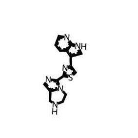 c1cnc2[nH]cc(-c3csc(-c4ncc5n4CCNC5)n3)c2c1